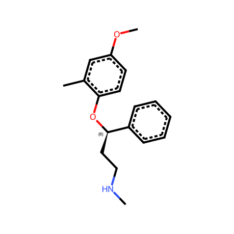 CNCC[C@@H](Oc1ccc(OC)cc1C)c1ccccc1